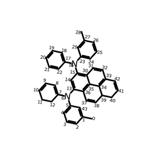 Cc1cccc(N(C2=CC=CCC2)c2cc(N(c3ccccc3)c3cccc(C)c3)c3ccc4c5c3c2C=CC5CC=C4)c1